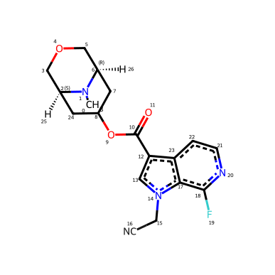 CN1[C@@H]2COC[C@H]1CC(OC(=O)c1cn(CC#N)c3c(F)nccc13)C2